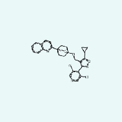 Clc1cncc(Cl)c1-c1noc(C2CC2)c1COC12CCC(c3ccc4ccccc4n3)(CC1)CC2